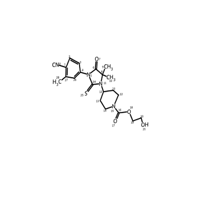 [C-]#[N+]c1ccc(N2C(=O)C(C)(C)N(C3CCN(C(=O)OCCO)CC3)C2=S)cc1C